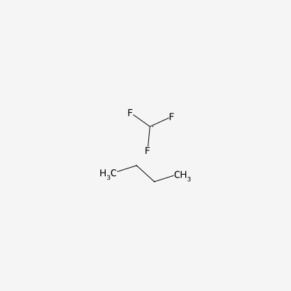 CCCC.F[C](F)F